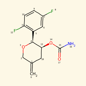 C=C1CO[C@@H](c2cc(F)ccc2F)[C@@H](OC(N)=O)C1